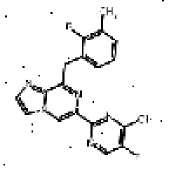 Cc1cccc(Cc2nc(-c3ncc(F)c(O)n3)cn3ccnc23)c1F